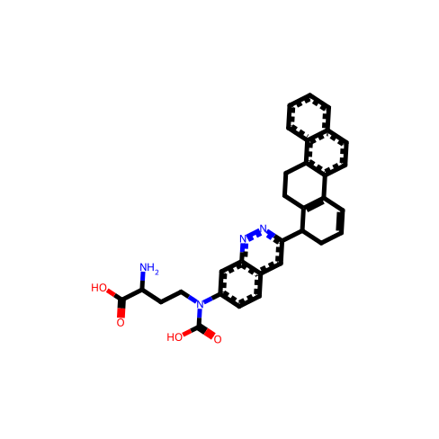 NC(CCN(C(=O)O)c1ccc2cc(C3CC=CC4=C3CCc3c4ccc4ccccc34)nnc2c1)C(=O)O